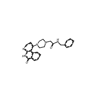 O=C(CN1CCN(c2ccnc3[nH]c(=O)c4ccccc4c23)CC1)NCc1ccccc1